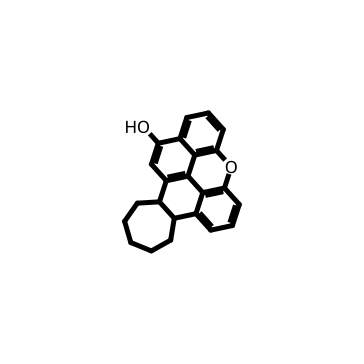 Oc1cc2c3c4c(cccc14)Oc1cccc(c1-3)C1CCCCCC21